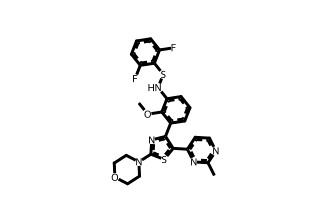 COc1c(NSc2c(F)cccc2F)cccc1-c1nc(N2CCOCC2)sc1-c1ccnc(C)n1